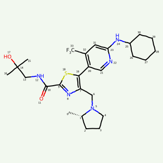 C[C@H]1CCCN1Cc1nc(C(=O)NCC(C)(C)O)sc1-c1cnc(NC2CCCCC2)cc1C(F)(F)F